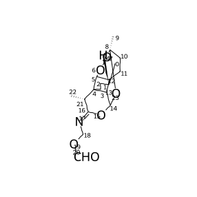 C[C@@H]1CCC23C4OO[C@@]5(C)CCC41C2C(O/C(=N\COC=O)[C@@H]3C)O5